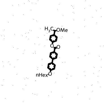 CCCCCCOc1ccc(-c2ccc(C(=O)Oc3ccc(C(C)OC)cc3)cc2)cc1